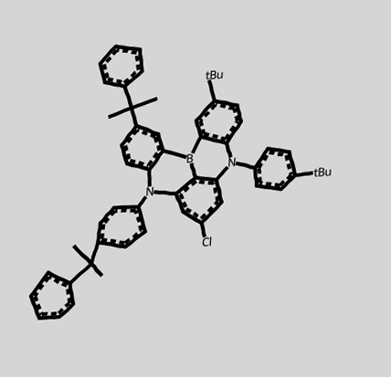 CC(C)(C)c1ccc(N2c3ccc(C(C)(C)C)cc3B3c4cc(C(C)(C)c5ccccc5)ccc4N(c4ccc(C(C)(C)c5ccccc5)cc4)c4cc(Cl)cc2c43)cc1